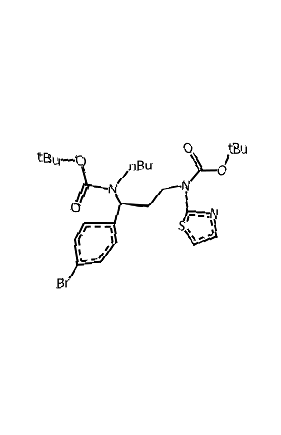 CCCCN(C(=O)OC(C)(C)C)[C@@H](CCN(C(=O)OC(C)(C)C)c1nccs1)c1ccc(Br)cc1